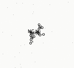 CC1(C)c2ccccc2-c2ccc(-n3c4ccccc4c4c3ccc3c5ccccc5n(-c5ccc(-c6nc(-c7cccc(-c8ccccc8)c7)nc(-c7ccc8c(c7)c7ccccc7n8-c7ccccc7)n6)cc5C#N)c34)cc21